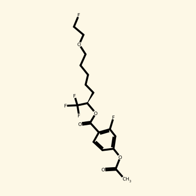 CC(=O)Oc1ccc(C(=O)O[C@H](CCCCCOCCF)C(F)(F)F)c(F)c1